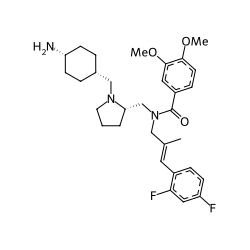 COc1ccc(C(=O)N(C/C(C)=C/c2ccc(F)cc2F)C[C@@H]2CCCN2C[C@H]2CC[C@@H](N)CC2)cc1OC